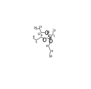 [CH2]C[Si](OCCC)(OCCC)OCCC